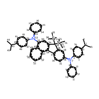 CC(C)c1ccc(N(c2ccccc2)c2ccc3c(c2)C([Si](C)(C)C)([Si](C)(C)C)c2cc(N(c4ccccc4)c4ccc(C(C)C)cc4)c4ccccc4c2-3)cc1